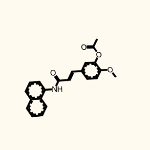 COc1ccc(C=CC(=O)Nc2cccc3ccccc23)cc1OC(C)=O